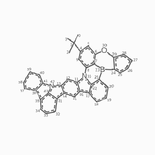 CC(C)(C)c1cc2c3c(c1)-n1c4cc5c(cc4c4cccc(c41)B3c1ccccc1O2)c1cccc2c3ccccc3n5c21